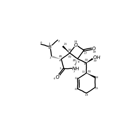 CB(C)C[C@H]1C(=O)N[C@@]2([C@@H](O)[C@@H]3C=CCCC3)C(=O)O[C@@]12C